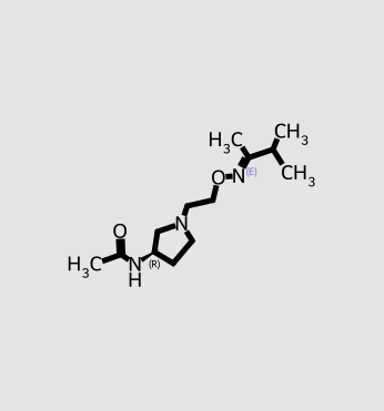 CC(=O)N[C@@H]1CCN(CCO/N=C(\C)C(C)C)C1